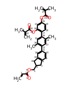 C=CC(=O)OCC1Cc2ccc(-c3cc(C)c(-c4ccc(OC(=O)C(=C)C)cc4OC(=O)C(=C)C)cc3C)cc2C1